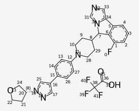 Fc1cccc2c1C(C1CCN(c3ccc(-c4cnn([C@@H]5CCOC5)c4)cc3)CC1)n1cncc1-2.O=C(O)C(F)(F)F